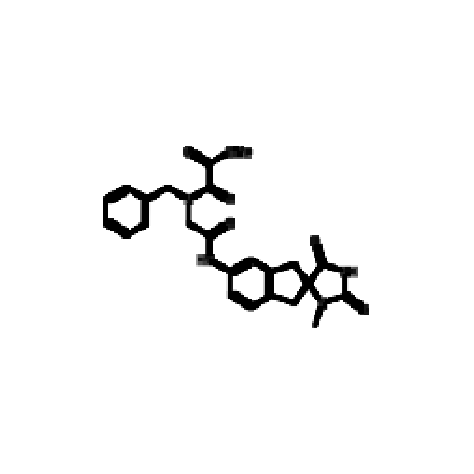 COC(=O)C(=O)N(CC(=O)Nc1ccc2c(c1)CC1(C2)C(=O)NC(=O)N1C)Cc1ccccc1